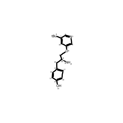 CC(C)(C)c1cncc(OC[C@@H](N)Cc2ccc(O)cc2)c1